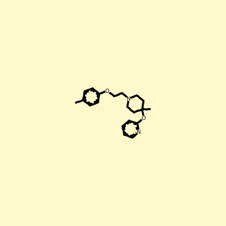 Cc1ccc(OCCN2CCC(C)(Oc3ccccn3)CC2)cc1